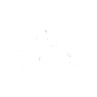 C[C@@H](C(=O)OCCN1CCOCC1)c1ccc(-c2ccccc2)c(F)c1